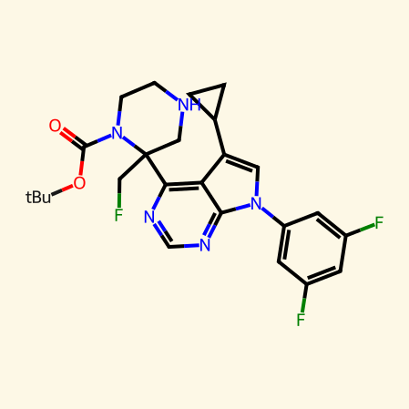 CC(C)(C)OC(=O)N1CCNCC1(CF)c1ncnc2c1c(C1CC1)cn2-c1cc(F)cc(F)c1